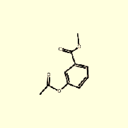 COC(=O)c1cccc(OC(C)=O)c1